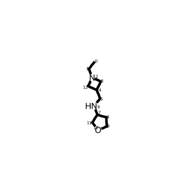 CCN1CC(CNC2CCOC2)C1